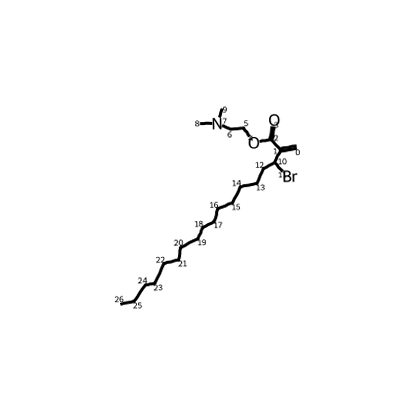 C=C(C(=O)OCCN(C)C)C(Br)CCCCCCCCCCCCCCC